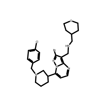 Clc1ccc(CN2CCCC(c3ccnc4c(CNCC5CCOCC5)c(Br)nn34)C2)cc1